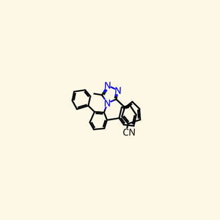 Cc1nnc(-c2cccc(C#N)c2)n1-c1c(-c2ccccc2)cccc1-c1ccccc1